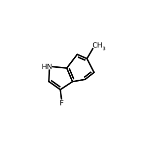 Cc1ccc2c(F)c[nH]c2c1